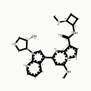 CNc1cc(-c2cn([C@H]3COC[C@@H]3O)c3ncccc23)nc2c(C(=O)NC3CC[C@@H]3OC)cnn12